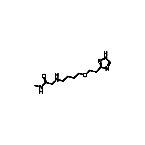 CNC(=O)CNCCCCOCCc1nc[nH]n1